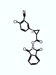 N#Cc1cc([C@H]2CC2C(=O)ON2C(=O)c3ccccc3C2=O)ccc1Cl